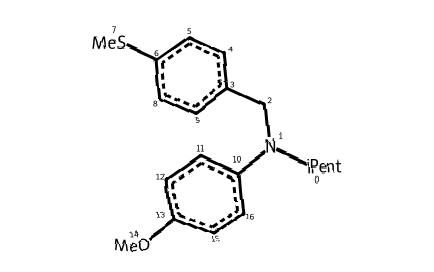 CCCC(C)N(Cc1ccc(SC)cc1)c1ccc(OC)cc1